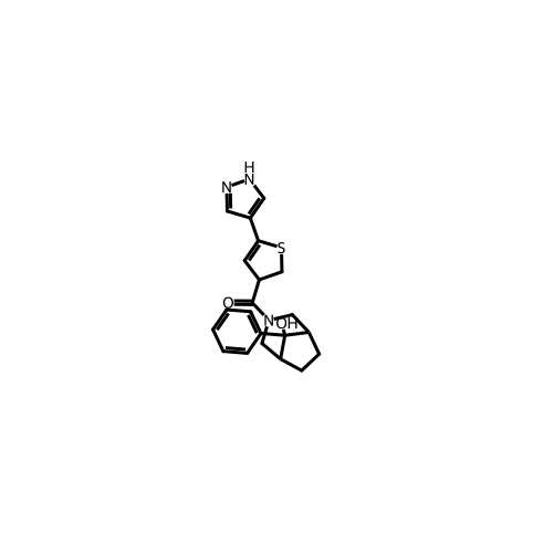 O=C(C1C=C(c2cn[nH]c2)SC1)N1CC2CCC(C1)C2(O)c1ccccc1